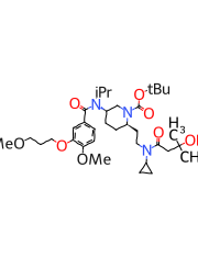 COCCCOc1cc(C(=O)N(C(C)C)[C@@H]2CC[C@H](CCN(C(=O)CC(C)(C)O)C3CC3)N(C(=O)OC(C)(C)C)C2)ccc1OC